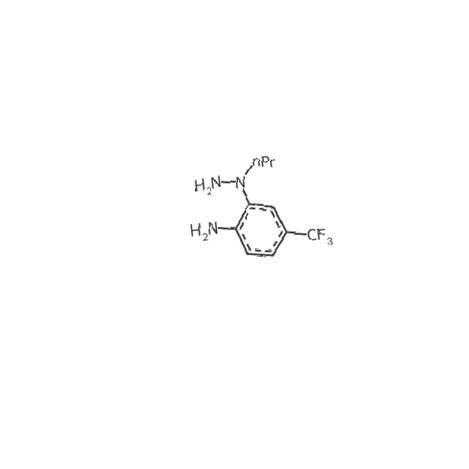 CCCN(N)c1cc(C(F)(F)F)ccc1N